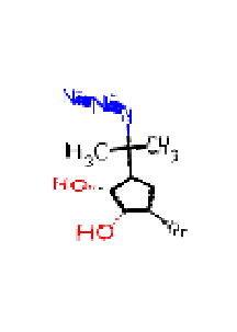 CC(C)[C@@H]1C[C@H](C(C)(C)N=[N+]=[N-])[C@@H](O)[C@H]1O